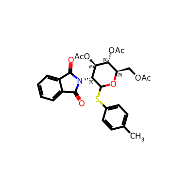 CC(=O)OC[C@H]1OC(Sc2ccc(C)cc2)[C@H](N2C(=O)c3ccccc3C2=O)[C@@H](OC(C)=O)[C@@H]1OC(C)=O